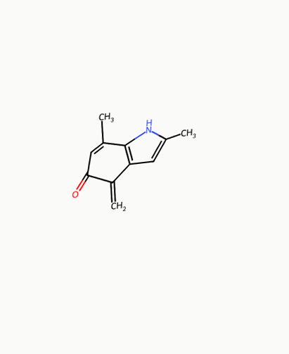 C=C1C(=O)C=C(C)c2[nH]c(C)cc21